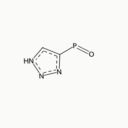 O=Pc1c[nH]nn1